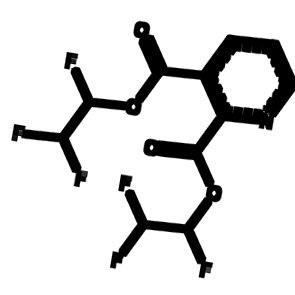 O=C(OC(F)C(F)F)c1cccnc1C(=O)OC(F)C(F)F